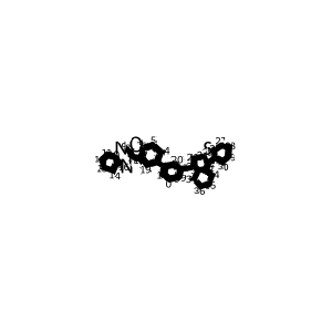 c1cc(-c2ccc3oc4nc5ccccc5nc4c3c2)cc(-c2cc3sc4ccccc4c3c3ccccc23)c1